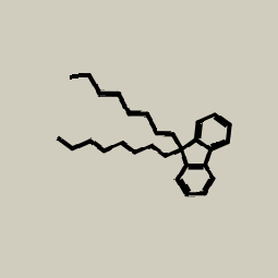 CCCCCCCCC1(CCCCCCCC)c2[c]cccc2-c2ccccc21